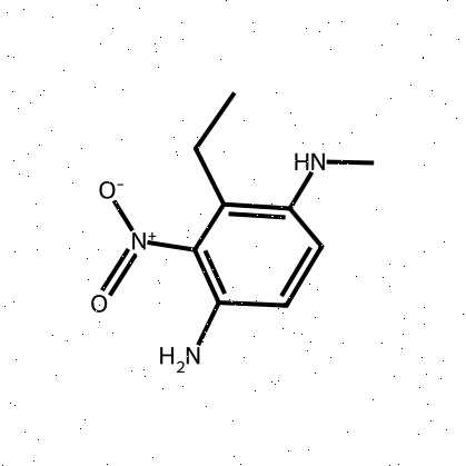 CCc1c(NC)ccc(N)c1[N+](=O)[O-]